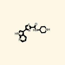 O=C(NC1CCNCC1)c1nc(-c2c[nH]c3ncccc23)cs1